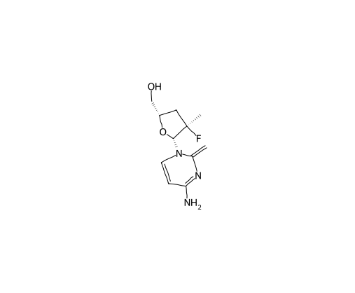 C=C1N=C(N)C=CN1[C@@H]1O[C@H](CO)C[C@@]1(C)F